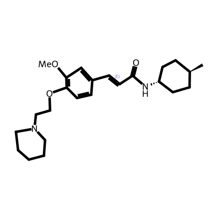 COc1cc(/C=C/C(=O)N[C@H]2CC[C@H](C)CC2)ccc1OCCN1CCCCC1